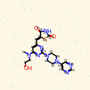 CN(CCO)c1cc(/C=C2\SC(=O)NC2=O)nc(N2CCN(c3cncnc3)CC2)n1